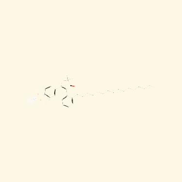 CCCCCCCCCCCCCCCCc1ccccc1C1=C(c2ccc(S(N)(=O)=O)cc2)OC(C)(C)C1=O